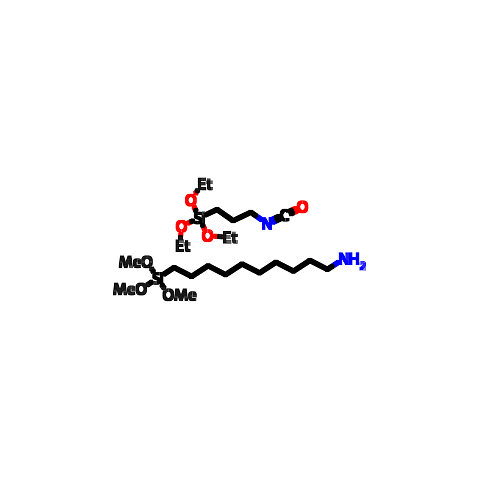 CCO[Si](CCCN=C=O)(OCC)OCC.CO[Si](CCCCCCCCCCN)(OC)OC